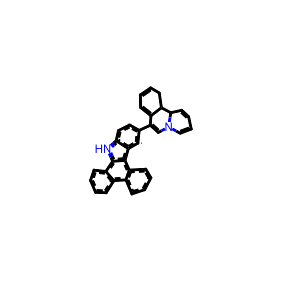 [c]1c(C2=CN3C=CC=CC3C3CC=CC=C23)ccc2[nH]c3c4ccccc4c4ccccc4c3c12